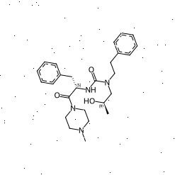 C[C@@H](O)CN(CCc1ccccc1)C(=O)N[C@@H](Cc1ccccc1)C(=O)N1CCN(C)CC1